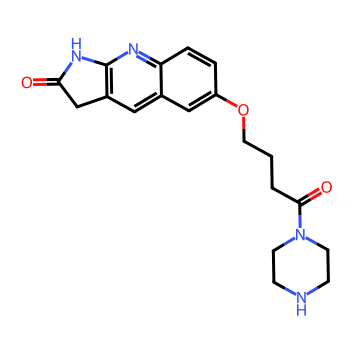 O=C1Cc2cc3cc(OCCCC(=O)N4CCNCC4)ccc3nc2N1